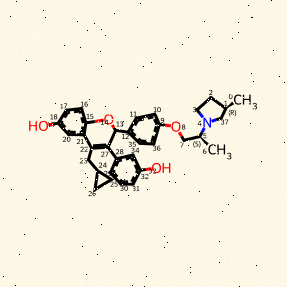 C[C@@H]1CCN([C@@H](C)COc2ccc(C3Oc4ccc(O)cc4C(CC4CC4)=C3c3cccc(O)c3)cc2)C1